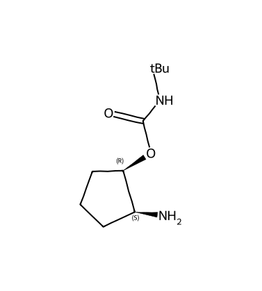 CC(C)(C)NC(=O)O[C@@H]1CCC[C@@H]1N